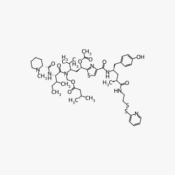 CCC(C)[C@H](NC(=O)[C@H]1CCCCN1C)C(=O)N(COC(=O)CC(C)C)C(C[C@@H](OC(C)=O)c1nc(C(=O)N[C@@H](Cc2ccc(O)cc2)C[C@H](C)C(=O)NCCSSc2ccccn2)cs1)C(C)C